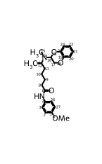 COc1ccc(NC(=O)CCCCC(C)N(C)C2COc3ccccc3O2)cc1